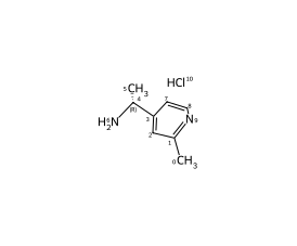 Cc1cc([C@@H](C)N)ccn1.Cl